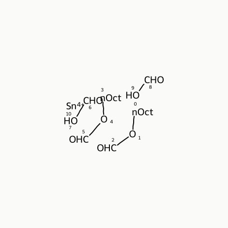 CCCCCCCCO[C-]=O.CCCCCCCCO[C-]=O.O=[C-]O.O=[C-]O.[Sn+4]